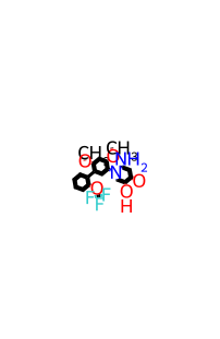 COc1cc(OC)c(-n2cc(O)c(=O)cc2N)cc1-c1ccccc1OC(F)(F)F